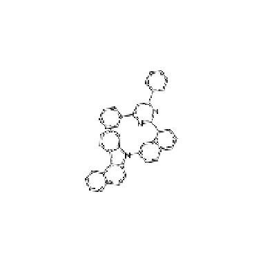 c1ccc(-c2cc(-c3ccccc3)nc(-c3cccc4ccc(-n5c6ccccc6c6c7ccccc7ccc65)cc34)n2)cc1